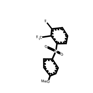 COc1ccc(S(=O)(=O)c2cccc(F)c2C(F)(F)F)cc1